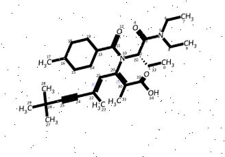 CC[C@@H](C(=O)N(CC)CC)N(C(=O)C1CCC(C)CC1)C(/C=C(\C)C#CC(C)(C)C)=C(/C)C(=O)O